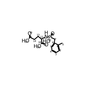 Cc1ccccc1CP(=O)(O)NC(CCC(=O)O)C(=O)O